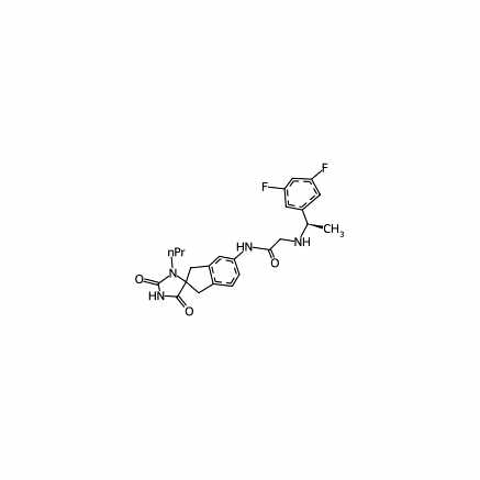 CCCN1C(=O)NC(=O)C12Cc1ccc(NC(=O)CN[C@H](C)c3cc(F)cc(F)c3)cc1C2